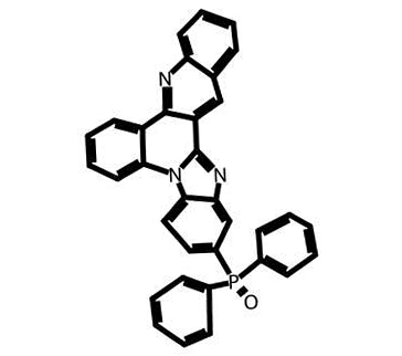 O=P(c1ccccc1)(c1ccccc1)c1ccc2c(c1)nc1c3cc4ccccc4nc3c3ccccc3n21